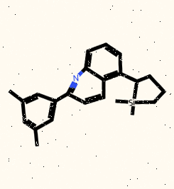 Cc1cc(C)cc(-c2ccc3c(C4CCC[Si]4(C)C)cccc3n2)c1